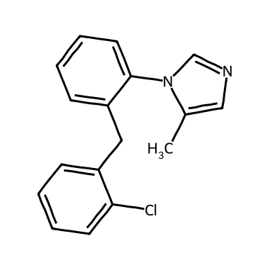 Cc1cncn1-c1ccccc1Cc1ccccc1Cl